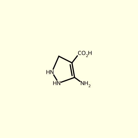 NC1=C(C(=O)O)CNN1